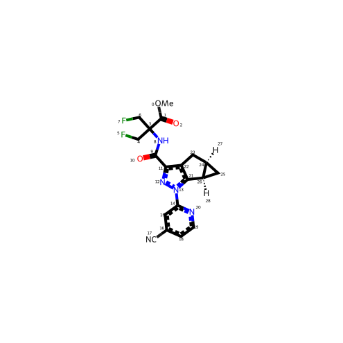 COC(=O)C(CF)(CF)NC(=O)c1nn(-c2cc(C#N)ccn2)c2c1C[C@H]1C[C@@H]21